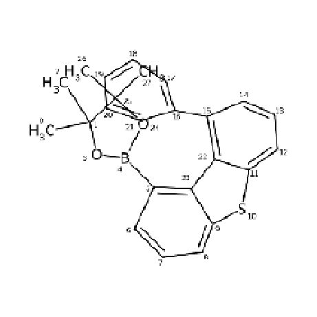 CC1(C)OB(c2cccc3sc4cccc(-c5ccccc5)c4c23)OC1(C)C